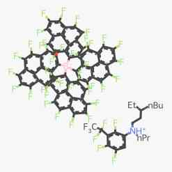 CCCCC(CC)CC[NH+](CCC)c1cc(F)c(F)c(C(F)(F)C(F)(F)F)c1F.Fc1c(F)c2c(F)c(F)c3c(F)c(F)c([B-](c4c(F)c(F)c5c(F)c(F)c6c(F)c(F)c(F)c7c(F)c(F)c4c5c67)(c4c(F)c(F)c5c(F)c(F)c6c(F)c(F)c(F)c7c(F)c(F)c4c5c67)c4c(F)c(F)c5c(F)c(F)c6c(F)c(F)c(F)c7c(F)c(F)c4c5c67)c4c(F)c(F)c(c1F)c2c34